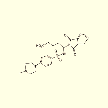 CN1CCN(c2ccc(S(=O)(=O)NC(CCCC(=O)O)N3C(=O)c4ccccc4C3=O)cc2)CC1